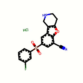 Cl.N#Cc1cc(S(=O)(=O)c2cccc(F)c2)cc2c3c(oc12)CCNC3